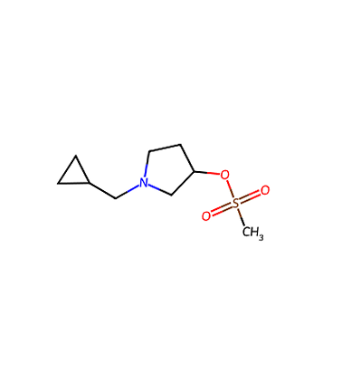 CS(=O)(=O)OC1CCN(CC2CC2)C1